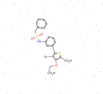 O=C(O)COc1c(C(=O)O)sc(-c2cccc(NS(=O)(=O)Cc3ccccc3)c2)c1Br